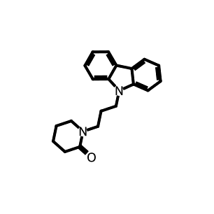 O=C1CCCCN1CCCn1c2ccccc2c2ccccc21